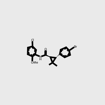 COc1ccc(Cl)cc1NC(=O)[C@H]1[C@H](c2ccc(Br)cc2)C1(C)C